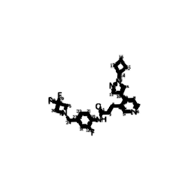 O=C(/C=C/c1cnccc1-c1cnn(C2CCC2)c1)Nc1ccc(CN2CC(F)(F)C2)cc1F